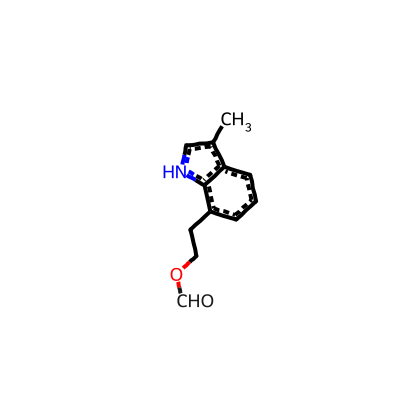 Cc1c[nH]c2c(CCOC=O)cccc12